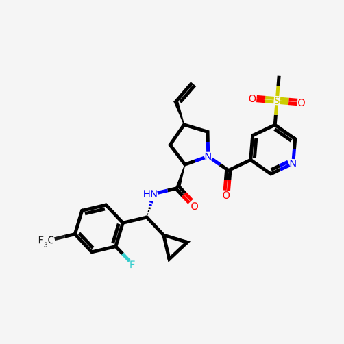 C=C[C@@H]1C[C@H](C(=O)N[C@@H](c2ccc(C(F)(F)F)cc2F)C2CC2)N(C(=O)c2cncc(S(C)(=O)=O)c2)C1